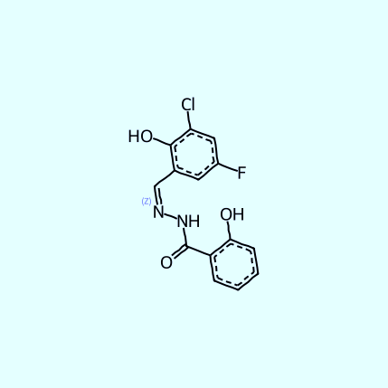 O=C(N/N=C\c1cc(F)cc(Cl)c1O)c1ccccc1O